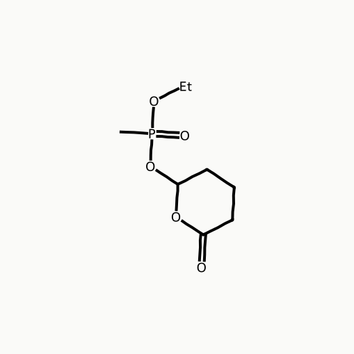 CCOP(C)(=O)OC1CCCC(=O)O1